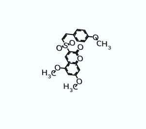 COc1ccc(/C=C\S(=O)(=O)c2cc3c(OC)cc(OC)cc3oc2=O)cc1